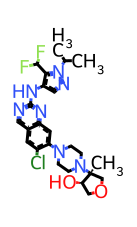 CC(C)n1ncc(Nc2ncc3cc(Cl)c(N4CCN([C@@]5(C)COC[C@H]5O)CC4)cc3n2)c1C(F)F